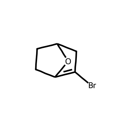 BrC1=C2CCC(C1)O2